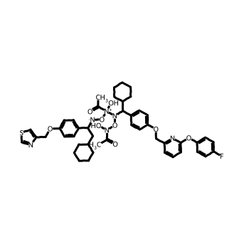 CC(=O)N(O)ON(C(c1ccc(OCc2cccc(Oc3ccc(F)cc3)n2)cc1)C1CCCCC1)[N+](O)(O[N]C(CC1CCCCC1)c1ccc(OCc2cscn2)cc1)C(C)=O